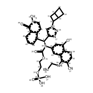 Cn1ccc2c([C@@H](c3cn(C4CC5CCC54)nn3)N(C(=O)OCCOP(=O)(O)O)c3cc(Cl)c4ncc(C#N)c(NCC(C)(C)C)c4c3)cccc2c1=O